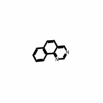 [c]1cccc2ccc3cncnc3c12